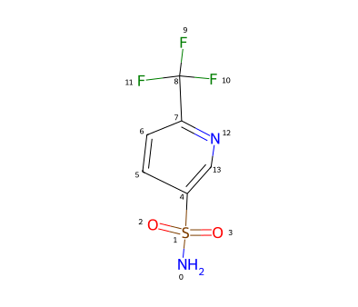 NS(=O)(=O)c1ccc(C(F)(F)F)nc1